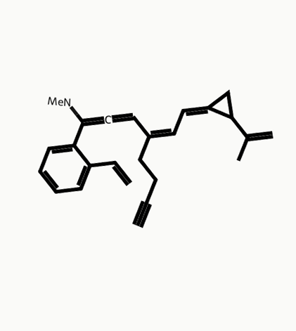 C#CCC/C(C=C=C(NC)c1ccccc1C=C)=C/C=C1/CC1C(=C)C